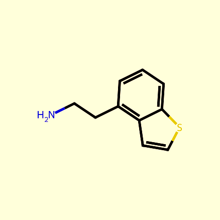 NCCc1cccc2sccc12